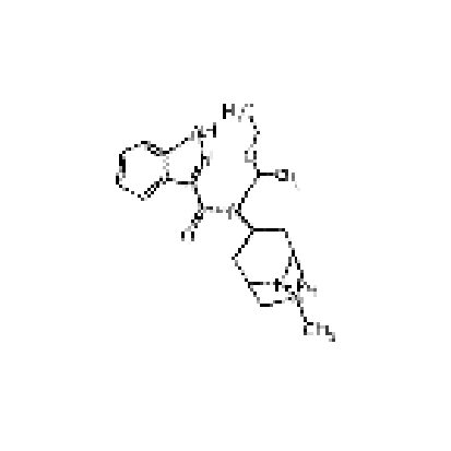 CCOC(C)N(C(=O)c1n[nH]c2ccccc12)C1CC2CN(C)CC(C1)N2C